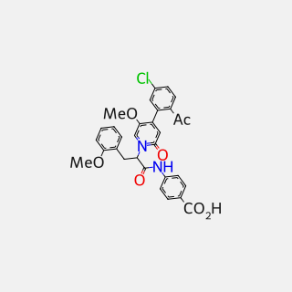 COc1ccccc1CC(C(=O)Nc1ccc(C(=O)O)cc1)n1cc(OC)c(-c2cc(Cl)ccc2C(C)=O)cc1=O